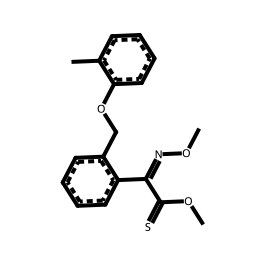 CON=C(C(=S)OC)c1ccccc1COc1ccccc1C